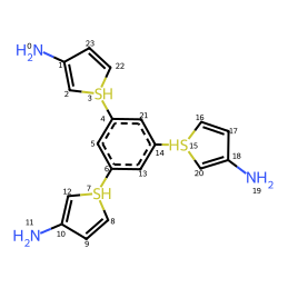 NC1=C[SH](c2cc([SH]3C=CC(N)=C3)cc([SH]3C=CC(N)=C3)c2)C=C1